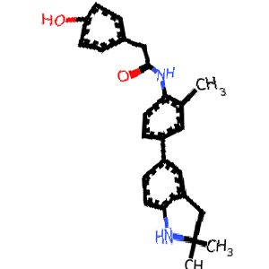 Cc1cc(-c2ccc3c(c2)CC(C)(C)N3)ccc1NC(=O)Cc1ccc(O)cc1